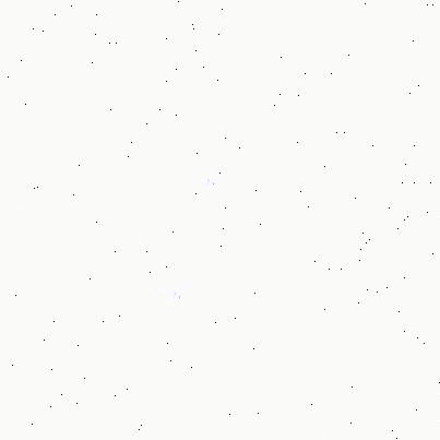 CN1CCCCCCC1c1cccnc1